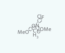 COc1ccc(Oc2cc(=O)c(OC)cn2Cc2ccc(F)c(Cl)c2)c(C)c1